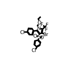 CCOCn1c(-c2ccc(Cl)cc2)c(S(=O)(=O)c2ccc(Cl)cc2)c(Br)c1C(F)(F)F